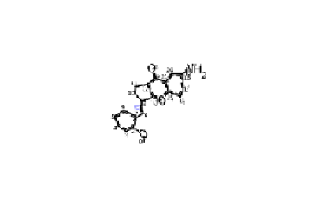 COc1ccccc1/C=C1\CCc2c1oc1ccc(N)cc1c2=O